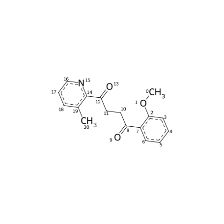 COc1ccccc1C(=O)CCC(=O)c1ncccc1C